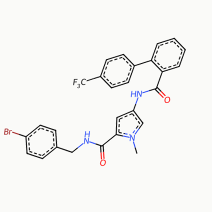 Cn1cc(NC(=O)c2ccccc2-c2ccc(C(F)(F)F)cc2)cc1C(=O)NCc1ccc(Br)cc1